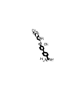 COC(=O)C[C@@H]1C[C@@H](COc2ccc(-c3ccc(C(=N)N)cc3)cc2)NC1=O.Cl